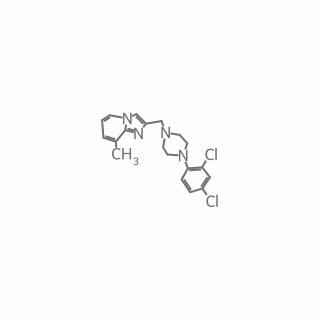 Cc1cccn2cc(CN3CCN(c4ccc(Cl)cc4Cl)CC3)nc12